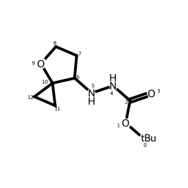 CC(C)(C)OC(=O)NNC1CCOC12CC2